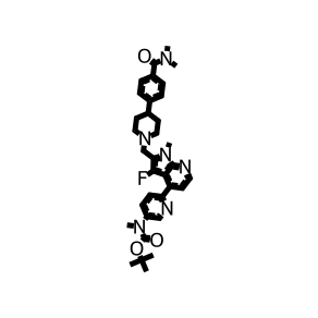 CN(C)C(=O)c1ccc(C2CCN(Cc3c(F)c4c(-c5ccc(N(C)C(=O)OC(C)(C)C)cn5)ccnc4n3C)CC2)cc1